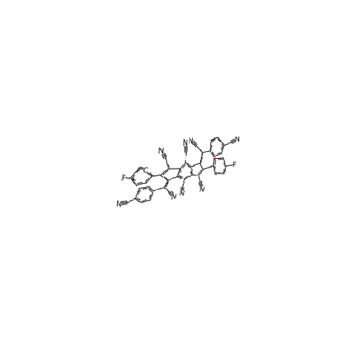 N#CC1=C(c2ccc(F)cc2)/C(=C(/C#N)c2ccc(C#N)cc2)c2c(C#N)c3c(c(C#N)c21)/C(=C(\C#N)c1ccc(C#N)cc1)C(c1ccc(F)cc1)=C3C#N